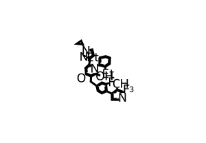 CCc1cccc(CC)c1-n1c(-c2ccn(C3CC3)n2)cc(=O)c(Cc2ccc(-c3ccnc(F)c3C)c(F)c2)c1O